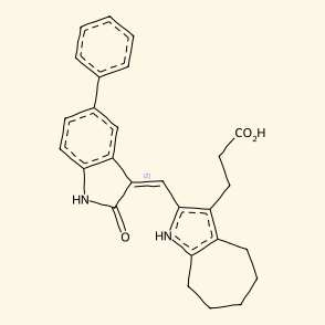 O=C(O)CCc1c(/C=C2\C(=O)Nc3ccc(-c4ccccc4)cc32)[nH]c2c1CCCCC2